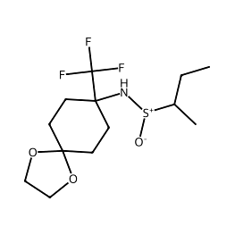 CCC(C)[S+]([O-])NC1(C(F)(F)F)CCC2(CC1)OCCO2